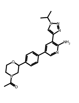 CC(=O)N1CCOC(c2ccc(-c3cnc(N)c(-c4cn(C(C)C)nn4)c3)cc2)C1